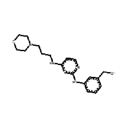 OCc1cccc(Nc2nccc(NCCCN3CCOCC3)n2)c1